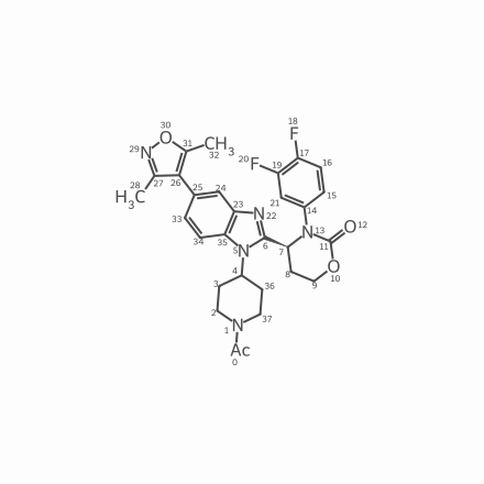 CC(=O)N1CCC(n2c([C@@H]3CCOC(=O)N3c3ccc(F)c(F)c3)nc3cc(-c4c(C)noc4C)ccc32)CC1